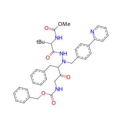 COC(=O)NC(C(=O)NN(Cc1ccc(-c2ccccn2)cc1)C(Cc1ccccc1)C(=O)CNC(=O)OCc1ccccc1)C(C)(C)C